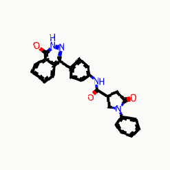 O=C(Nc1ccc(-c2n[nH]c(=O)c3ccccc23)cc1)C1CC(=O)N(c2ccccc2)C1